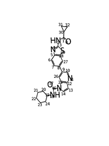 O=C(Nc1nc2ccc(-c3cnc4ccn(C(=O)NC5CCCCC5)c4c3)cc2s1)C1CC1